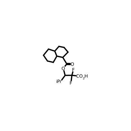 CC(C)C(OC(=O)C1CCCC2CCCCC21)C(F)(F)C(=O)O